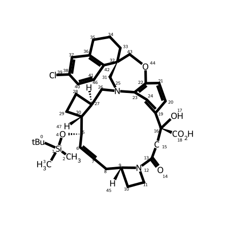 CC(C)(C)[Si](C)(C)O[C@H]1/C=C/C[C@H]2CCN2C(=O)C[C@](O)(C(=O)O)c2ccc3c(c2)N(C[C@@H]2CC[C@H]21)C[C@@]1(CCCc2cc(Cl)ccc21)CO3